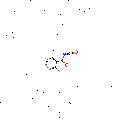 Cc1ccccc1C(=O)N=C=O